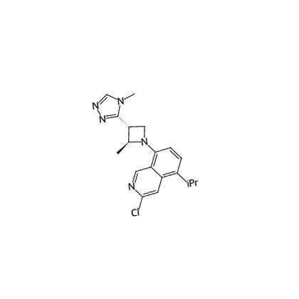 CC(C)c1ccc(N2C[C@@H](c3nncn3C)[C@@H]2C)c2cnc(Cl)cc12